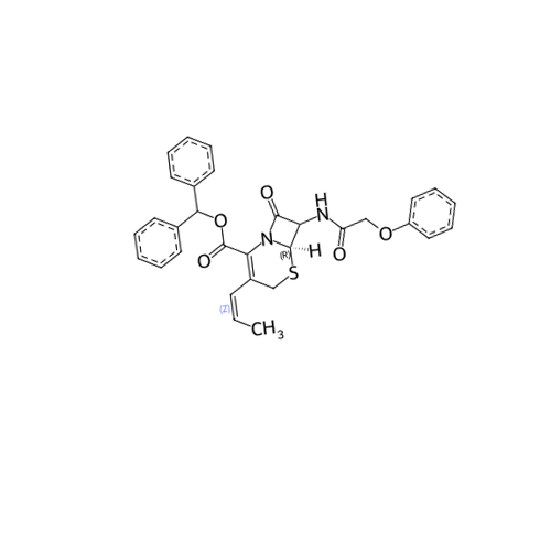 C/C=C\C1=C(C(=O)OC(c2ccccc2)c2ccccc2)N2C(=O)C(NC(=O)COc3ccccc3)[C@H]2SC1